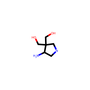 NC1C[N]CC1(CO)CO